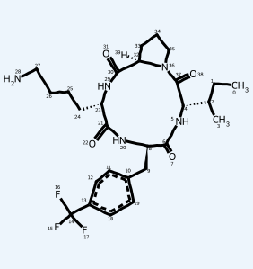 CCC(C)[C@@H]1NC(=O)[C@@H](Cc2ccc(C(F)(F)F)cc2)NC(=O)[C@H](CCCCN)NC(=O)[C@H]2CCCN2C1=O